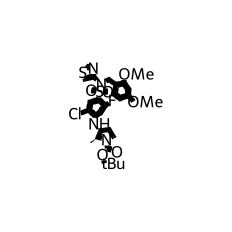 COc1ccc(CN(c2cscn2)S(=O)(=O)c2cc(Cl)c(N[C@@H]3CCN(C(=O)OC(C)(C)C)[C@@H]3C)cc2F)c(OC)c1